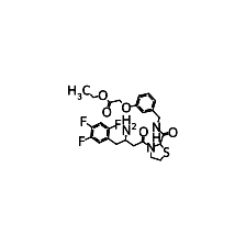 CCOC(=O)COc1cccc(CNC(=O)C2SCCN2C(=O)C[C@H](N)Cc2cc(F)c(F)cc2F)c1